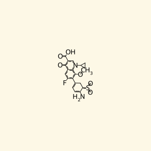 COc1c(C2=CC=C(N)C(=S(=O)=O)C2)c(F)cc2c(=O)c(C(=O)O)cn(C3CC3)c12